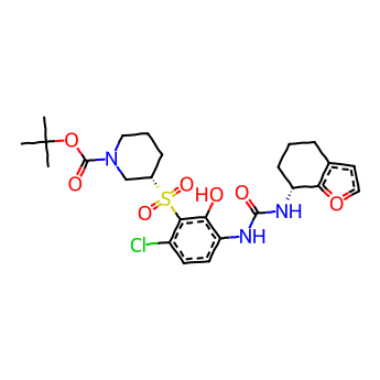 CC(C)(C)OC(=O)N1CCC[C@H](S(=O)(=O)c2c(Cl)ccc(NC(=O)N[C@@H]3CCCc4ccoc43)c2O)C1